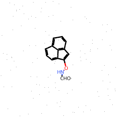 O=[C]NOC1=Cc2cccc3cccc1c23